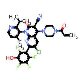 C=CC(=O)N1CCN(c2c(C#N)c(=O)n(-c3c(C)ccnc3C(C)C)c3nc(-c4c(F)c(O)c(F)c(F)c4F)c(Cl)cc23)CC1